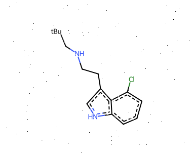 CC(C)(C)CNCCc1c[nH]c2cccc(Cl)c12